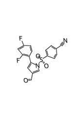 N#Cc1ccc(S(=O)(=O)n2cc(C=O)cc2-c2ccc(F)cc2F)cc1